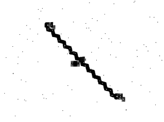 CCCCCCCCCCC[CH2][Al][CH2]CCCCCCCCCCC.[HH]